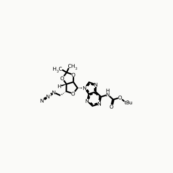 CC(C)(C)OC(=O)Nc1ncnc2c1ncn2[C@@H]1O[C@H](CN=[N+]=[N-])[C@@H]2OC(C)(C)OC21